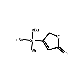 CCC[CH2][Sn]([CH2]CCC)([CH2]CCC)[C]1=CC(=O)OC1